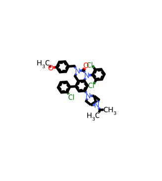 COc1ccc(CN2Cc3c(-c4ccccc4Cl)cc(N4CC5CC4CN5C(C)C)cc3N(c3c(Cl)cccc3Cl)C2=O)cc1